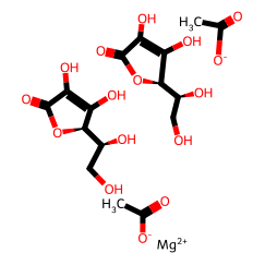 CC(=O)[O-].CC(=O)[O-].O=C1O[C@H]([C@@H](O)CO)C(O)=C1O.O=C1O[C@H]([C@@H](O)CO)C(O)=C1O.[Mg+2]